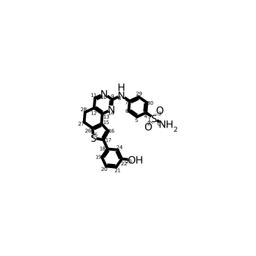 NS(=O)(=O)c1ccc(Nc2ncc3c(n2)-c2cc(-c4cccc(O)c4)sc2CC3)cc1